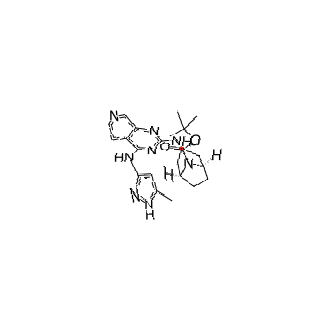 Cc1cc(Nc2nc(N[C@@H]3C[C@H]4CC[C@@H](C3)N4C(=O)OC(C)(C)C)nc3cnccc23)n[nH]1